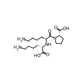 NCCCC[C@H](N[C@@H](CCCCN)C(=O)N1CCC[C@H]1C(=O)O)C(=O)O